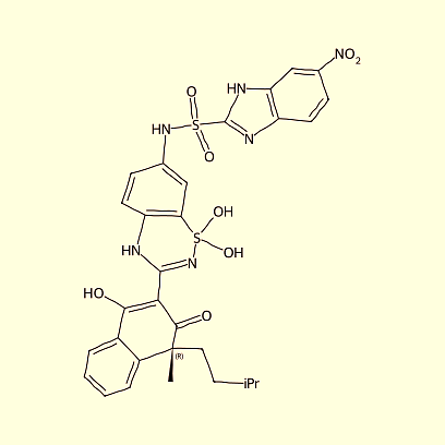 CC(C)CC[C@@]1(C)C(=O)C(C2=NS(O)(O)c3cc(NS(=O)(=O)c4nc5ccc([N+](=O)[O-])cc5[nH]4)ccc3N2)=C(O)c2ccccc21